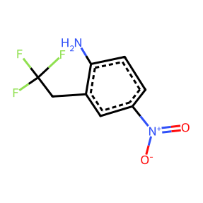 Nc1ccc([N+](=O)[O-])cc1CC(F)(F)F